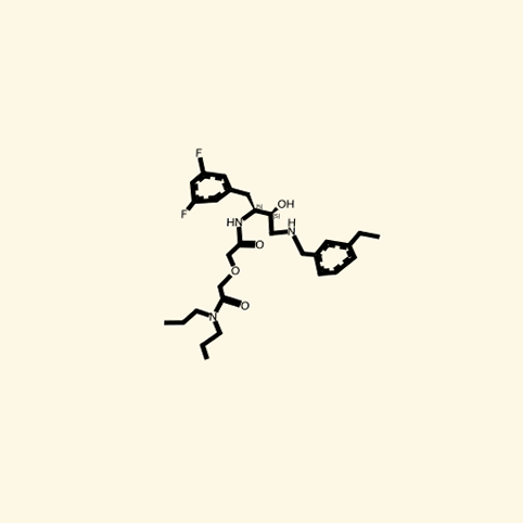 CCCN(CCC)C(=O)COCC(=O)N[C@@H](Cc1cc(F)cc(F)c1)[C@@H](O)CNCc1cccc(CC)c1